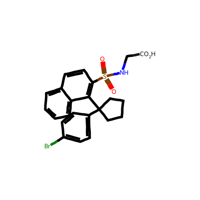 O=C(O)CNS(=O)(=O)c1ccc2ccccc2c1C1(c2ccc(Br)cc2)CCCC1